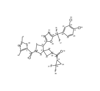 Cc1nc(C)c(C(=O)N2CC(c3nnc(C(F)(F)c4ccc(Cl)c(Cl)c4)o3)C3(C2)CN(C(=O)[C@H]2CC2(F)F)C3)s1